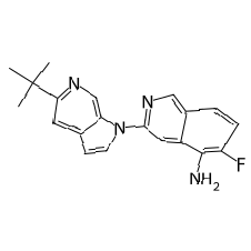 CC(C)(C)c1cc2ccn(-c3cc4c(N)c(F)ccc4cn3)c2cn1